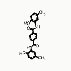 Cc1ccc(O)c(NC(=O)c2ccc(C(=O)Nc3cc(C)ccc3O)cc2)c1